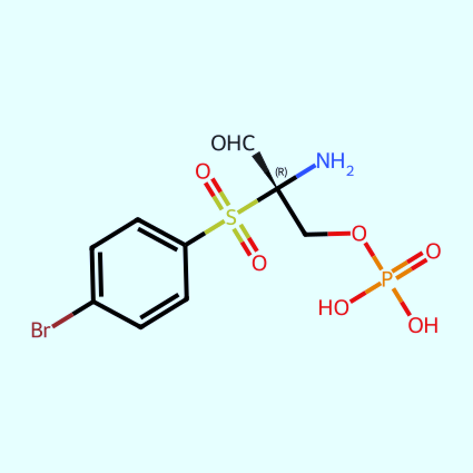 N[C@](C=O)(COP(=O)(O)O)S(=O)(=O)c1ccc(Br)cc1